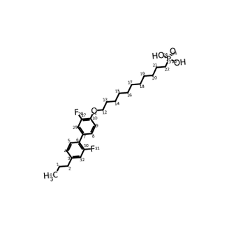 CCCc1ccc(-c2ccc(OCCCCCCCCCCCP(=O)(O)O)c(F)c2)c(F)c1